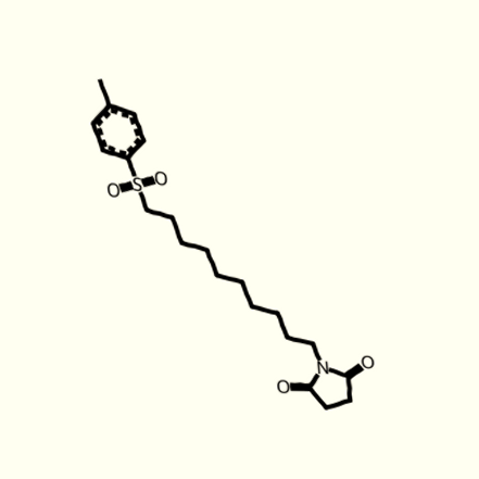 Cc1ccc(S(=O)(=O)CCCCCCCCCCN2C(=O)CCC2=O)cc1